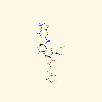 Cc1cc2cc(Nc3ccnc4cc(OCCCN5CCCC5)c(C#N)cc34)ccc2[nH]1.Cl